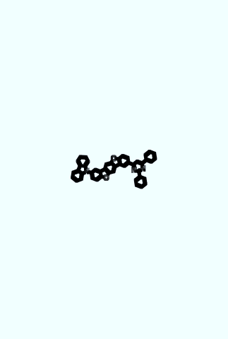 c1ccc(-c2cc(-c3ccc4oc5cc6c(cc5c4c3)oc3ccc(-n4c5ccccc5c5ccccc54)cc36)nc(-c3ccccc3)n2)cc1